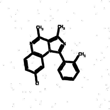 Cc1ccccc1-c1nc(C)c2c(C)nc3ccc(Cl)cc3n12